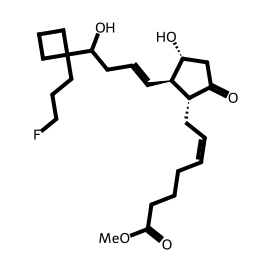 COC(=O)CCC/C=C\C[C@H]1C(=O)C[C@@H](O)[C@@H]1/C=C/CC(O)C1(CCCF)CCC1